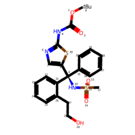 CC(C)(C)OC(=O)Nc1ncc([C@](NS(C)(=O)=O)(c2ccccc2)c2ccccc2CCO)s1